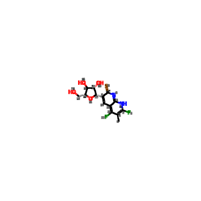 Cc1c(F)[nH]c2nc(=S)c([C@@H]3O[C@H](CO)C(O)[C@@H]3O)cc-2c1F